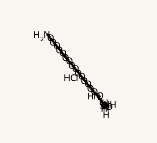 Cl.NCCOCCOCCOCCOCCOCCOCCOCCOCCOCCOCCOCCOCCOCCOCCOCCNC(=O)CCCC[C@@H]1SC[C@@H]2NC(=O)N[C@@H]21